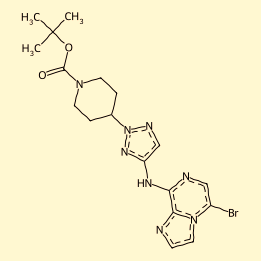 CC(C)(C)OC(=O)N1CCC(n2ncc(Nc3ncc(Br)n4ccnc34)n2)CC1